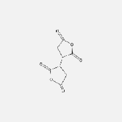 O=C1CC(C2CC(=O)OC2=O)C(=O)O1